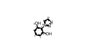 Oc1cccc(O)c1-n1ccnn1